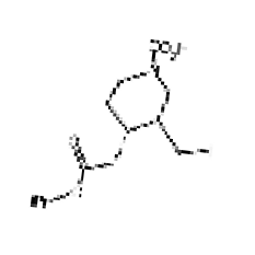 CC(C)OC(=O)C[C@@H]1CCN(C(=O)O)CC1CI